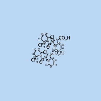 CCOC(=O)c1cc(C(=O)c2c(Cl)cccc2C(F)(F)F)n2ccccc12.O=C(O)c1cc(C(=O)c2c(Cl)cccc2C(F)(F)F)n2ccccc12